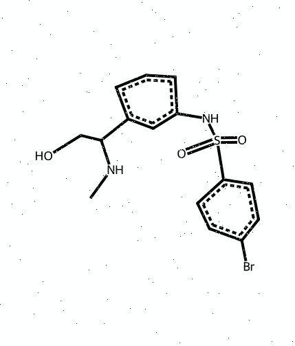 CNC(CO)c1cccc(NS(=O)(=O)c2ccc(Br)cc2)c1